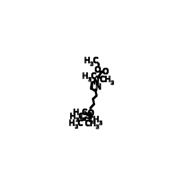 CCOC(=O)C(C)(C)n1ccc(CCCCO[Si](C)(C)C(C)(C)C)n1